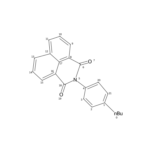 CCCCc1ccc(N2C(=O)c3cccc4cccc(c34)C2=O)cc1